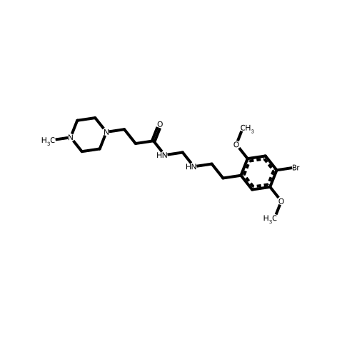 COc1cc(CCNCNC(=O)CCN2CCN(C)CC2)c(OC)cc1Br